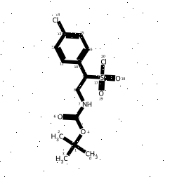 CC(C)(C)OC(=O)NCC(c1ccc(Cl)cc1)S(=O)(=O)Cl